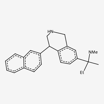 CCC(C)(NC)c1ccc2c(c1)CNCC2c1ccc2ccccc2c1